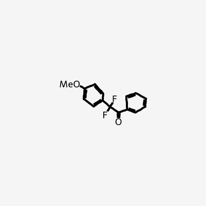 COc1ccc(C(F)(F)C(=O)c2ccccc2)cc1